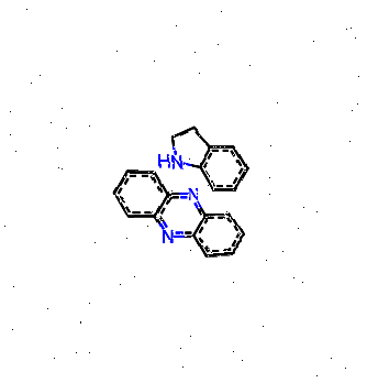 c1ccc2c(c1)CCN2.c1ccc2nc3ccccc3nc2c1